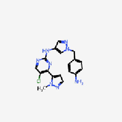 Cn1nccc1-c1nc(Nc2cnn(Cc3ccc(N)cc3)c2)ncc1Cl